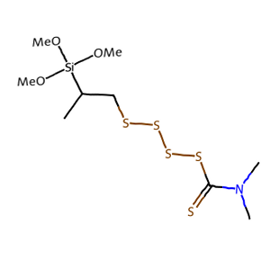 CO[Si](OC)(OC)C(C)CSSSSC(=S)N(C)C